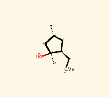 COC[C@@H]1C[C@@H](C)C[C@]1(C)O